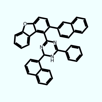 c1ccc(C2=NC(c3c(-c4ccc5ccccc5c4)ccc4oc5ccccc5c34)=NC(c3cccc4ccccc34)N2)cc1